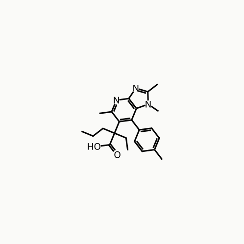 CCCC(CC)(C(=O)O)c1c(C)nc2nc(C)n(C)c2c1-c1ccc(C)cc1